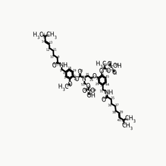 COc1cc(CNC(=O)CCCC/C=C/C(C)C)ccc1OC(=O)N(CCOc1cc(CNC(=O)CCCC/C=C/C(C)C)ccc1OC(C)OS(=O)(=O)O)COS(=O)(=O)O